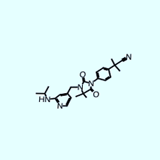 CC(C)Nc1cc(CN2C(=O)N(c3ccc(C(C)(C)C#N)cc3)C(=O)C2(C)C)ccn1